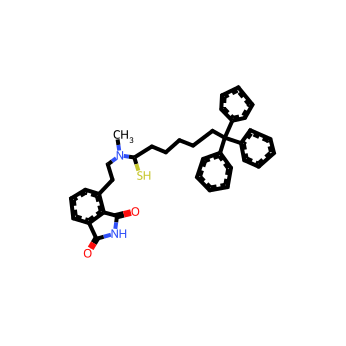 CN(CCc1cccc2c1C(=O)NC2=O)C(S)CCCCCC(c1ccccc1)(c1ccccc1)c1ccccc1